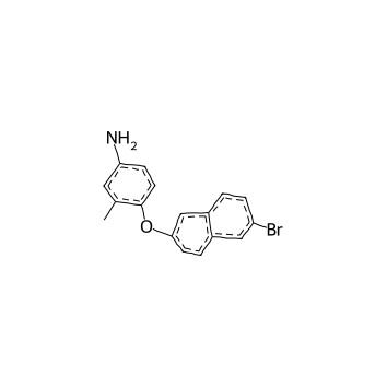 Cc1cc(N)ccc1Oc1ccc2cc(Br)ccc2c1